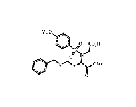 COC(=O)C(CCSCc1ccccc1)N(CC(=O)O)S(=O)(=O)c1ccc(OC)cc1